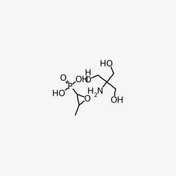 CC1OC1P(=O)(O)O.NC(CO)(CO)CO